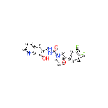 O=C(NCC(CO)Cc1cccnc1)N1CCOC(c2ccc(F)c(F)c2)C1